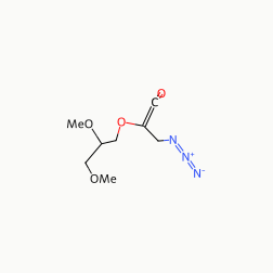 COCC(COC(=C=O)CN=[N+]=[N-])OC